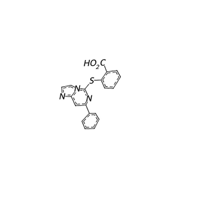 O=C(O)c1ccccc1Sc1nc(-c2ccccc2)cc2nccn12